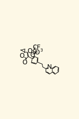 O=C1OC2(CC2)C(OS(=O)(=O)C(F)(F)F)=C1c1ccc(CCc2ccc3ccccc3n2)cc1